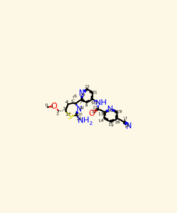 COC[C@@H]1C[C@@](C)(c2cc(NC(=O)c3ccc(C#N)cn3)ccn2)N=C(N)S1